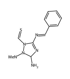 CNN1C(N)N=C(N=Cc2ccccc2)N1C=S